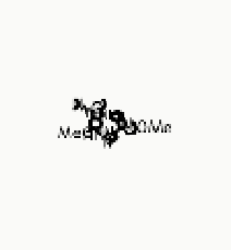 C=CC(=O)Nc1cc(Nc2nccc(-c3c4n(c5ccccc35)CC(OC)CC4)n2)c(OC)cc1N(C)CCN(C)C